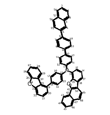 c1ccc2cc(-c3ccc(-c4ccc(N(c5ccc(-c6cccc7oc8ccccc8c67)cc5)c5cccc6c5oc5c7ccccc7ccc65)cc4)cc3)ccc2c1